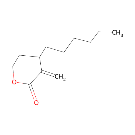 C=C1C(=O)OCCC1CCCCCC